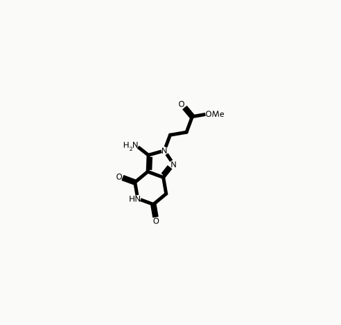 COC(=O)CCn1nc2c(c1N)C(=O)NC(=O)C2